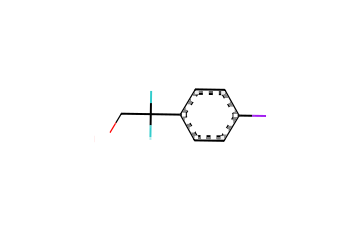 OCC(F)(F)c1ccc(I)cc1